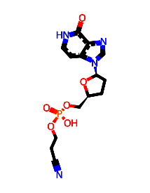 N#CCCOP(=O)(O)OC[C@@H]1CC[C@H](n2cnc3c(=O)[nH]ccc32)O1